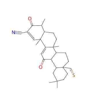 CC1C(=O)C(C#N)=CC2(C)C3=CC(=O)C4C5CC(C)(C)CCC5(C=S)CCC4C3(C)CCC12